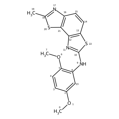 COc1ccc(OC)c(Nc2nc3c(ccc4nc(C)sc43)s2)c1